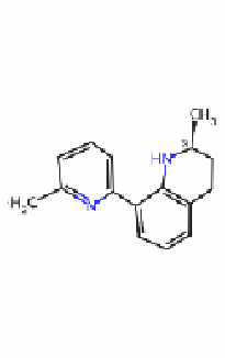 [CH2]c1cccc(-c2cccc3c2N[C@@H](C)CC3)n1